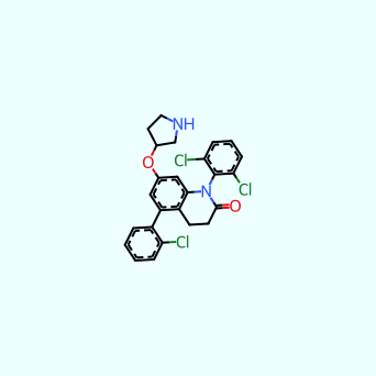 O=C1CCc2c(-c3ccccc3Cl)cc(OC3CCNC3)cc2N1c1c(Cl)cccc1Cl